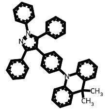 CC1(C)c2ccccc2N(c2ccc(-c3c(-c4ccccc4)nn(-c4ccccc4)c3-c3ccccc3)cc2)c2ccccc21